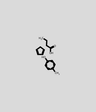 C1=CCC=C1.CCCC(=O)O.Cc1ccc(O)cc1